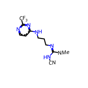 CNC(=NCCCNc1ccnc(C(F)(F)F)n1)NC#N